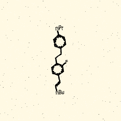 CCCCC=Cc1ccc(CCc2ccc(CCC)cc2)c(F)c1